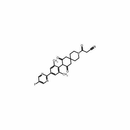 Cc1cc(-c2ncc(F)cn2)cc(C)c1C1C(=O)CC2(CCN(C(=O)CC#N)CC2)CC1=O